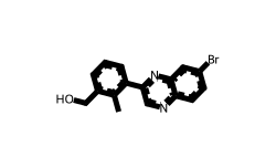 Cc1c(CO)cccc1-c1cnc2ccc(Br)cc2n1